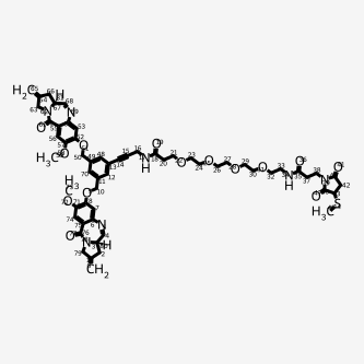 C=C1C[C@H]2C=Nc3cc(OCc4cc(C#CCNC(=O)CCOCCOCCOCCOCCNC(=O)CCN5C(=O)CC(SC)C5=O)cc(COc5cc6c(cc5OC)C(=O)N5CC(=C)C[C@H]5C=N6)c4)c(OC)cc3C(=O)N2C1